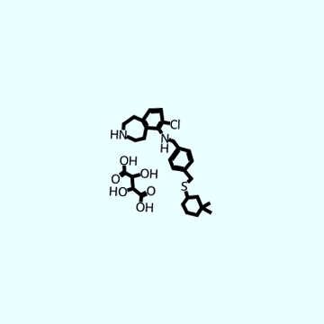 CC1(C)CCCC(SCc2ccc(CNc3c(Cl)ccc4c3CCNCC4)cc2)C1.O=C(O)C(O)C(O)C(=O)O